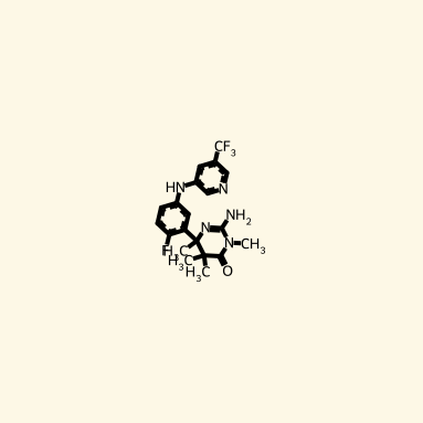 CN1C(=O)C(C)(C)C(C)(c2cc(Nc3cncc(C(F)(F)F)c3)ccc2F)N=C1N